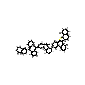 CC1(C)c2ccc(-c3c4ccccc4c(-c4ccc5ccccc5c4)c4ccccc34)cc2-c2cccc(-c3ccc4c(c3)c3ccccc3c3c5ccc6ccccc6c5sc43)c21